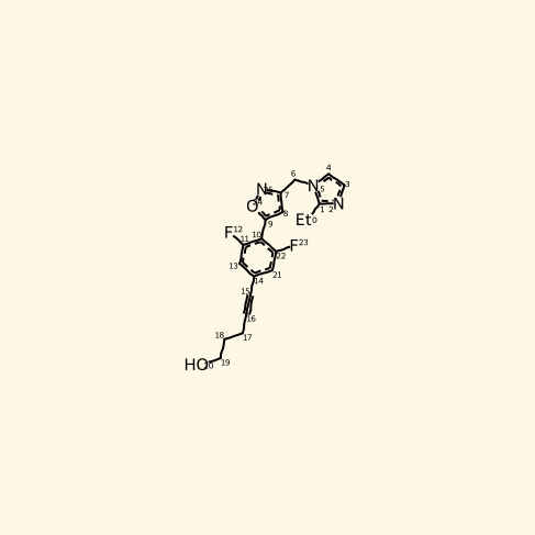 CCc1nccn1Cc1cc(-c2c(F)cc(C#CCCCO)cc2F)on1